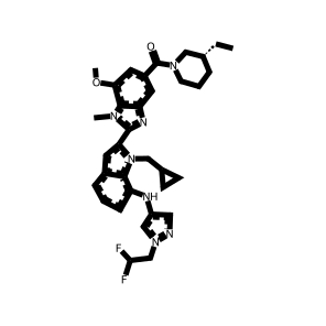 CC[C@@H]1CCCN(C(=O)c2cc(OC)c3c(c2)nc(-c2cc4cccc(Nc5cnn(CC(F)F)c5)c4n2CC2CC2)n3C)C1